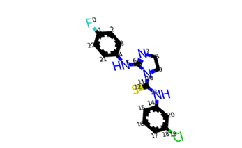 Fc1ccc(NC2=NCCN2C(=S)Nc2cccc(Cl)c2)cc1